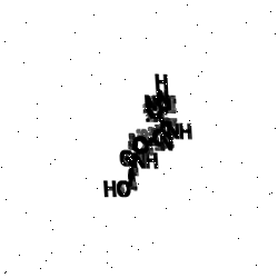 O=C(C#CCO)Nc1cccc(-c2cnc3[nH]cc(-c4ccnc5[nH]ccc45)c3c2)c1